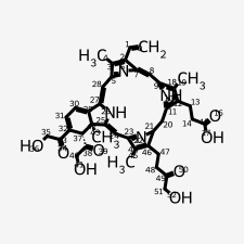 C=CC1=C(C)C2=NC/1=C\c1[nH]c(c(CCC(=O)O)c1C)CC1N=C(/C=C3\N/C(=C\2)C2=CC=C(C(=O)CO)[C@@H](C(=O)CO)[C@]23C)C(C)=C1CCC(=O)CO